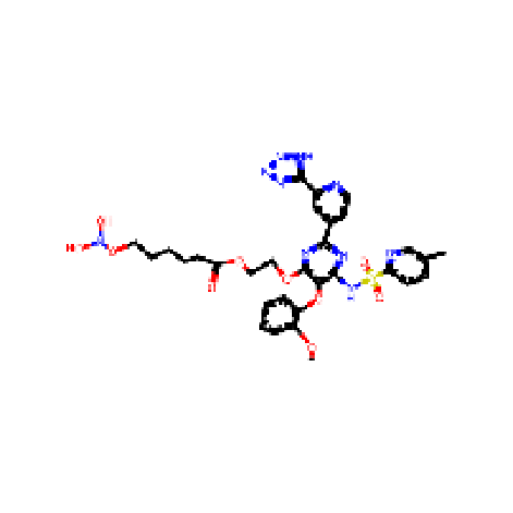 COc1ccccc1Oc1c(NS(=O)(=O)c2ccc(C)cn2)nc(-c2ccnc(-c3nnn[nH]3)c2)nc1OCCOC(=O)CCCCCON(O)O